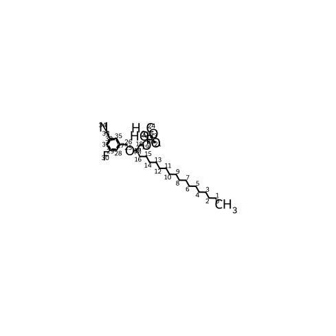 CCCCCCCCCCCCCCCCC[C@H](COP(=O)(O)OC)OCc1cc(F)cc(C#N)c1